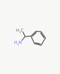 CC(N)c1c[c]ccc1